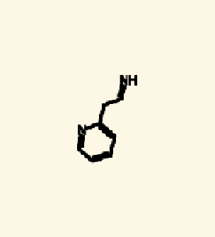 N=CCc1ccccn1